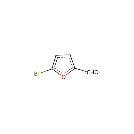 O=[C]c1ccc(Br)o1